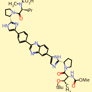 COC(=O)N[C@@H](C(=O)N1CCC[C@H]1c1ncc(-c2ccc3nc(-c4ccc(-c5c[nH]c([C@@H]6CCCN6C(=O)[C@H](C(C)C)N(C)C(=O)O)n5)cc4)cnc3c2)[nH]1)[C@@H](C)OC(C)(C)C